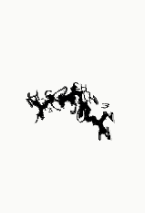 C=C(/C=C/C=C(C#N)C#N)O/C(=C\C)c1sc(-c2ccc(/C=C/C=C(C#N)C#N)o2)c(CC)c1CC